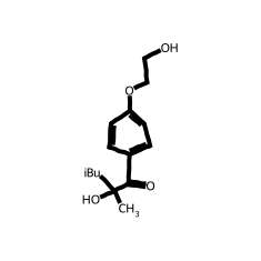 CCC(C)C(C)(O)C(=O)c1ccc(OCCO)cc1